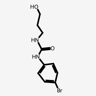 O=C(NCCCO)Nc1ccc(Br)cc1